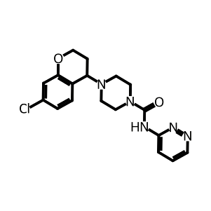 O=C(Nc1cccnn1)N1CCN(C2CCOc3cc(Cl)ccc32)CC1